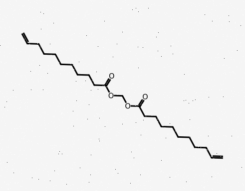 C=CCCCCCCCCC(=O)OCOC(=O)CCCCCCCCC=C